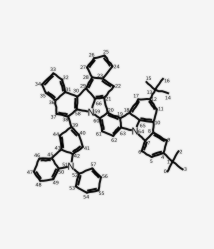 CC(C)(C)c1ccc2c(c1)c1cc(C(C)(C)C)cc3c4c5c6cc7ccccc7c7c8c9ccccc9cc(-c9ccc%10c(c9)c9ccccc9n%10-c9ccccc9)c8n(c5ccc4n2c13)c67